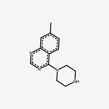 Cc1ccc2c(N3CCNCC3)ncnc2c1